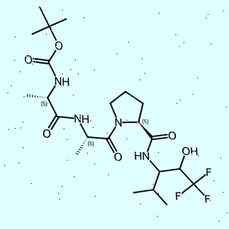 CC(C)C(NC(=O)[C@@H]1CCCN1C(=O)[C@H](C)NC(=O)[C@H](C)NC(=O)OC(C)(C)C)C(O)C(F)(F)F